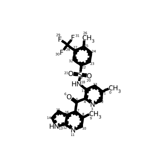 Cc1cnc(C(=O)c2c(C)cnc3[nH]ccc23)c(NS(=O)(=O)c2ccc(C)c(C(F)(F)F)c2)c1